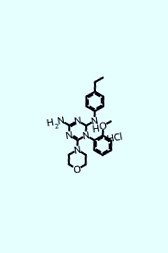 CCc1ccc(NC2N=C(N)N=C(N3CCOCC3)N2c2ccccc2OC)cc1.Cl